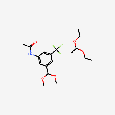 CCOC(C)OCC.COC(OC)c1cc(NC(C)=O)cc(C(F)(F)F)c1